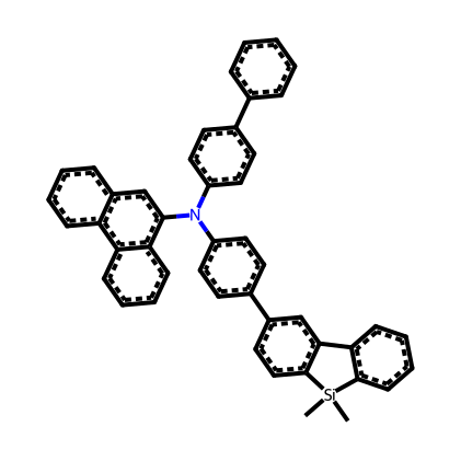 C[Si]1(C)c2ccccc2-c2cc(-c3ccc(N(c4ccc(-c5ccccc5)cc4)c4cc5ccccc5c5ccccc45)cc3)ccc21